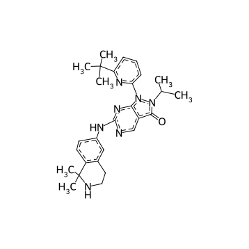 CC(C)n1c(=O)c2cnc(Nc3ccc4c(c3)CCNC4(C)C)nc2n1-c1cccc(C(C)(C)C)n1